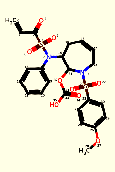 C=CC(=O)S(=O)(=O)N(c1ccccc1)C1CC=CCN(S(=O)(=O)c2ccc(OC)cc2)C1OC(=O)O